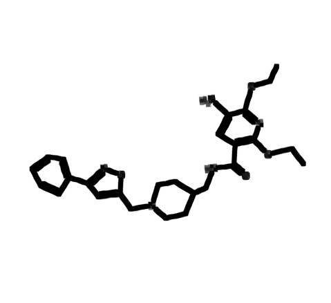 CCOc1nc(OCC)c(C(=O)NCC2CCN(Cc3cc(-c4ccccc4)no3)CC2)cc1N